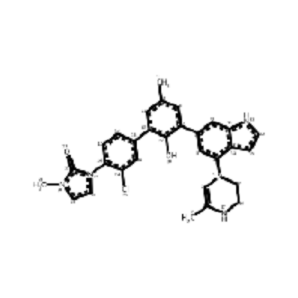 CC1=CN(c2cc(-c3cc(C)cc(-c4ccc(-n5ccn(C)c5=O)c(Cl)c4)c3O)cc3[nH]ccc23)CCN1